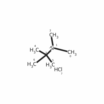 C[Si](C)C(C)(C)C.Cl